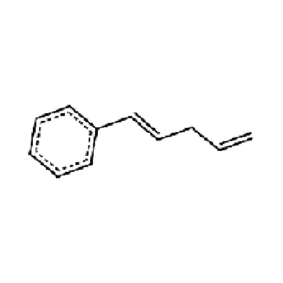 C=CCC=Cc1ccccc1